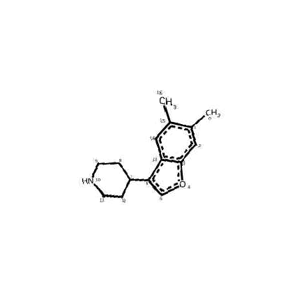 Cc1cc2occ(C3CCNCC3)c2cc1C